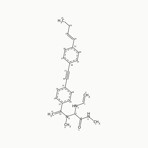 C=CNC(C(=O)NC)N(C)C(=C)c1ccc(C#Cc2ccc(/C=C/CC)cc2)cc1